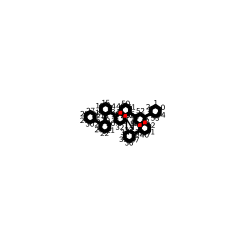 c1ccc(-c2ccc(N(c3ccc(-c4ccccc4-c4ccccc4-c4ccccc4)cc3)c3ccccc3-c3ccccc3)c(-c3ccccc3)c2)cc1